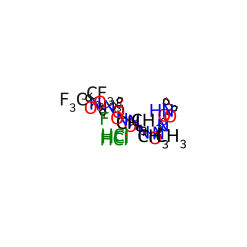 CN(CCN1CCC(OC(=O)Nc2ccccc2-c2ccccc2)CC1)C(=O)CCCN(C)c1ccc(C(=O)N(C)CCCN(C)C(=O)CO[C@H]2Cc3ccccc3C23CCN(CC[C@@]2(c4ccc(F)cc4)CN(C(=O)c4cc(C(F)(F)F)cc(C(F)(F)F)c4)CO2)CC3)cc1.Cl.Cl.Cl